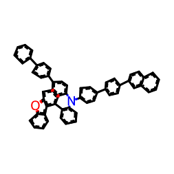 c1ccc(-c2ccc(-c3ccc(N(c4ccc(-c5ccc(-c6ccc7ccccc7c6)cc5)cc4)c4ccccc4-c4cccc5oc6ccccc6c45)cc3)cc2)cc1